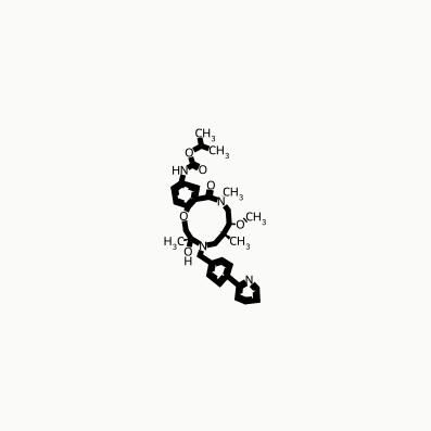 CO[C@H]1CN(C)C(=O)c2cc(NC(=O)OC(C)C)ccc2OC[C@](C)(O)N(Cc2ccc(-c3ccccn3)cc2)C[C@@H]1C